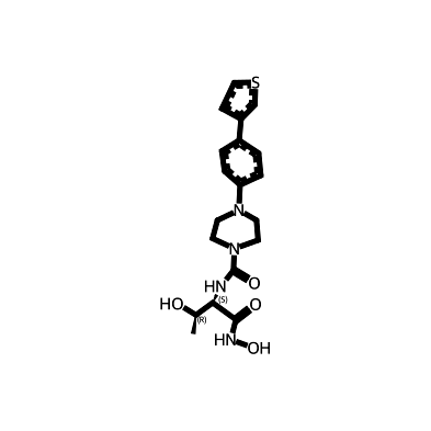 C[C@@H](O)[C@H](NC(=O)N1CCN(c2ccc(-c3ccsc3)cc2)CC1)C(=O)NO